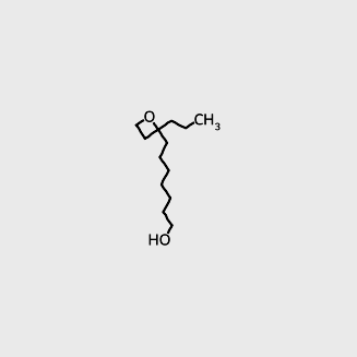 CCCC1(CCCCCCCO)CCO1